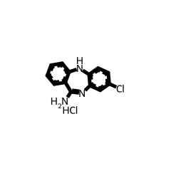 Cl.NC1=Nc2cc(Cl)ccc2Nc2ccccc21